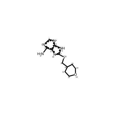 Nc1ncnc2[nH]c(SCC3CCOCC3)nc12